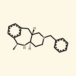 C[C@@H]1N[C@@H]2CCN(Cc3ccccc3)C[C@H]2Cc2cccc1c2